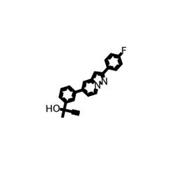 C#CC(C)(O)c1cccc(-c2ccn3nc(-c4ccc(F)cc4)cc3c2)c1